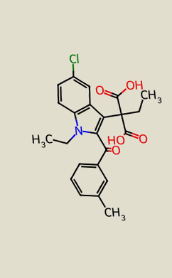 CCn1c(C(=O)c2cccc(C)c2)c(C(CC)(C(=O)O)C(=O)O)c2cc(Cl)ccc21